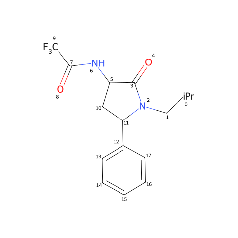 CC(C)CN1C(=O)C(NC(=O)C(F)(F)F)CC1c1ccccc1